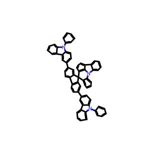 c1ccc(-n2c3ccccc3c3cc(-c4ccc5c(c4)C4(c6cc(-c7ccc8c(c7)c7ccccc7n8-c7ccccc7)ccc6-5)c5ccccc5-n5c6ccccc6c6cccc4c65)ccc32)cc1